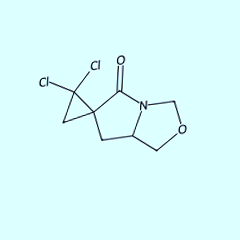 O=C1N2COCC2CC12CC2(Cl)Cl